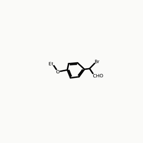 CCOc1ccc(C(Br)C=O)cc1